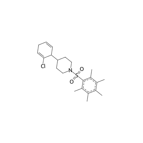 Cc1c(C)c(C)c(S(=O)(=O)N2CCC(C3C=CCC=C3Cl)CC2)c(C)c1C